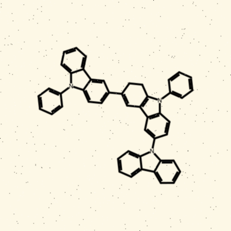 C1=C(c2ccc3c(c2)c2ccccc2n3-c2ccccc2)CCc2c1c1cc(-n3c4ccccc4c4ccccc43)ccc1n2-c1ccccc1